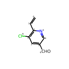 C=Cc1ncc(C=O)cc1Cl